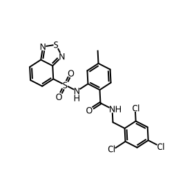 Cc1ccc(C(=O)NCc2c(Cl)cc(Cl)cc2Cl)c(NS(=O)(=O)c2cccc3nsnc23)c1